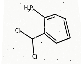 Pc1ccccc1C(Cl)Cl